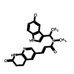 CC(c1c[nH]c2ccc(Cl)cc12)N(C)C(=O)/C=C/c1cnc2c(c1)CCC(=O)N2